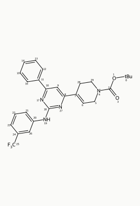 CC(C)(C)OC(=O)N1CC=C(c2cc(-c3ccccc3)nc(Nc3cccc(C(F)(F)F)c3)n2)CC1